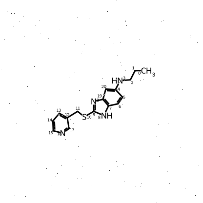 CCCNc1ccc2[nH]c(SCc3cccnc3)nc2c1